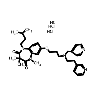 CC(C)CCN1C(=O)C(C)(C)C(=O)N(C)c2cc(OCCCN(CCc3cccnc3)Cc3ccncc3)ccc21.Cl.Cl.Cl